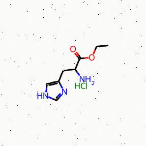 CCOC(=O)C(N)Cc1c[nH]cn1.Cl